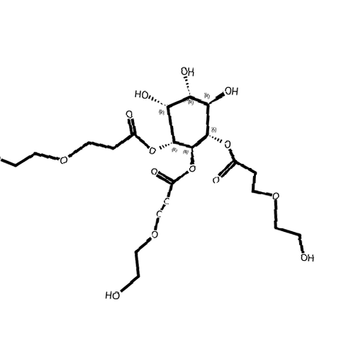 O=C(CCOCCO)O[C@H]1[C@H](OC(=O)CCOCCO)[C@H](O)[C@H](O)[C@@H](O)[C@@H]1OC(=O)CCOCCO